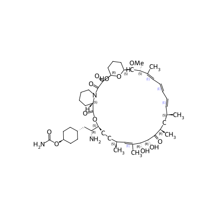 CO[C@H]1C[C@@H]2CCC[C@@](O)(O2)C(=O)C(=O)N2CCCC[C@H]2C(=O)O[C@H]([C@H](N)C[C@H]2CC[C@H](OC(N)=O)CC2)CC[C@H](C)/C=C(\C)[C@@H](O)[C@@H](O)C(=O)[C@H](C)C[C@H](C)/C=C/C=C/C=C/1C